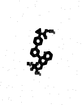 COC(=O)C1(c2ccc(-c3cccc(-c4cc(CC(C)S(C)(=O)=O)cc5cccnc45)c3)cc2)CC1